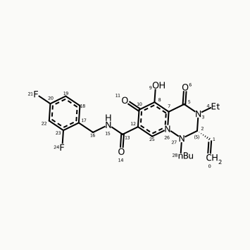 C=C[C@H]1N(CC)C(=O)c2c(O)c(=O)c(C(=O)NCc3ccc(F)cc3F)cn2N1CCCC